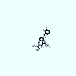 CCCC[C@H](CO)NC(=O)c1c(C)nc2c(OCc3cccc(F)c3F)cccn12